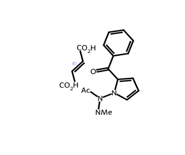 CNN(C(C)=O)n1cccc1C(=O)c1ccccc1.O=C(O)/C=C/C(=O)O